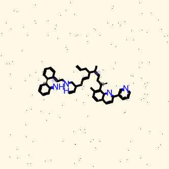 C=CCC(C=CCC(C=C)CNC/C=C1\C=CC=CC1[C@@H]1C=CC=CC1=N)/C(C)=C\C[C@@H](C)C1=C(C)C=CC2C=CC(c3cccnc3)=NC12